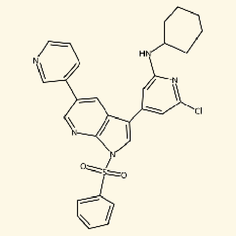 O=S(=O)(c1ccccc1)n1cc(-c2cc(Cl)nc(NC3CCCCC3)c2)c2cc(-c3cccnc3)cnc21